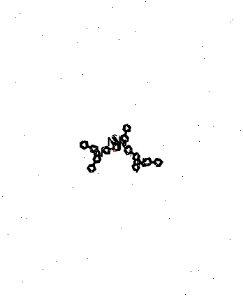 c1ccc(-c2ccc(N(c3ccc(-c4ccc5c(c4)c4ccccc4n5-c4ccc(-c5ccccc5)cc4)cc3)c3ccc(-c4ccc(-n5c6ccc(-c7ccccc7)cc6c6cc(-c7ccccc7)ccc65)cc4)c4nsnc34)cc2)cc1